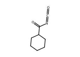 O=C=NC(=O)C1CCCCC1